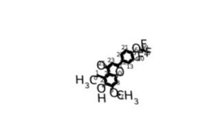 CCc1c(O)c(OC)cc2oc(-c3ccc(OC(F)(F)F)cc3)cc(=O)c12